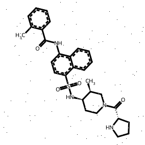 Cc1ccccc1C(=O)Nc1ccc(S(=O)(=O)N[C@@H]2CCN(C(=O)[C@@H]3CCCN3)C[C@@H]2C)c2ccccc12